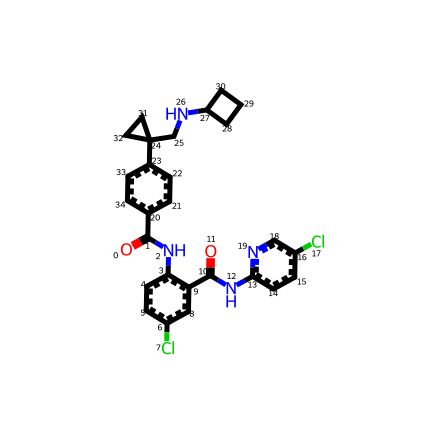 O=C(Nc1ccc(Cl)cc1C(=O)Nc1ccc(Cl)cn1)c1ccc(C2(CNC3CCC3)CC2)cc1